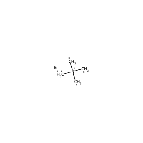 C[N+](C)(C)C.[Br-]